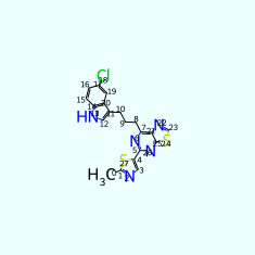 Cc1ncc(-c2nc(CCCc3c[nH]c4ccc(Cl)cc34)c3ncsc3n2)s1